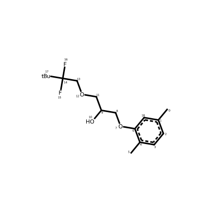 Cc1ccc(C)c(OCC(O)COCC(F)(F)C(C)(C)C)c1